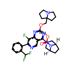 CC(C)(C)OC(=O)N1[C@@H]2CC[C@H]1CN(c1nc(OCC34CCCN3CCC4)nc3c(F)c(-c4ccccc4C(F)F)ncc13)C2